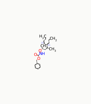 C=C/C=C\C(=C/C=C)C(C)CC(C)ONC(=O)OCc1ccccc1